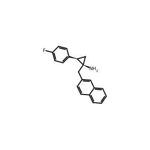 N[C@]1(Cc2ccc3ccccc3c2)C[C@@H]1c1ccc(F)cc1